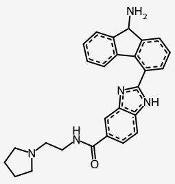 NC1c2ccccc2-c2c(-c3nc4cc(C(=O)NCCN5CCCC5)ccc4[nH]3)cccc21